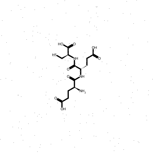 N[C@@H](CCC(=O)O)C(=O)N[C@@H](CCC(=O)O)C(=O)N[C@@H](CS)C(=O)O